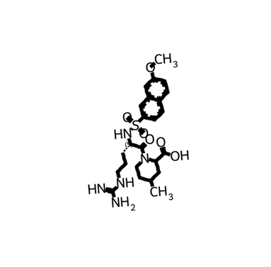 COc1ccc2ccc(S(=O)(=O)N[C@@H](CCCNC(=N)N)C(=O)N3CCC(C)CC3C(=O)O)cc2c1